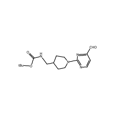 CC(C)(C)OC(=O)NCC1CCN(c2nccc(C=O)n2)CC1